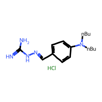 CCCCN(CCCC)c1ccc(C=NNC(=N)N)cc1.Cl